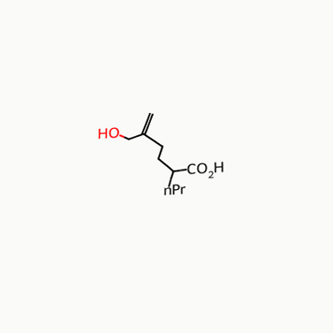 C=C(CO)CCC(CCC)C(=O)O